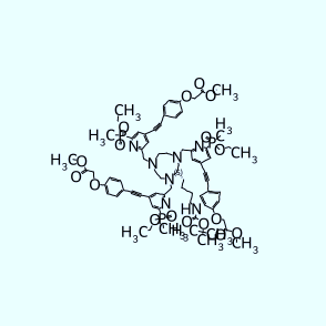 CCOP(C)(=O)c1cc(C#Cc2ccc(OCC(=O)OC)cc2)cc(CN2CCN(Cc3cc(C#Cc4ccc(OCC(=O)OC)cc4)cc(P(C)(=O)OCC)n3)C[C@H](CCCCNC(=O)OC(C)(C)C)N(Cc3cc(C#Cc4ccc(OCC(=O)OC)cc4)cc(P(C)(=O)OCC)n3)CC2)n1